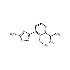 COc1c(-c2noc(C)n2)cccc1C(C)C